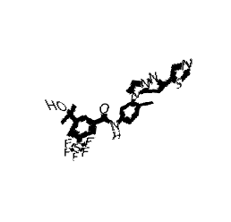 Cc1ccc(NC(=O)c2cc(C(C)(C)O)cc(S(F)(F)(F)(F)F)c2)cc1-n1ccn2nc(-c3cncs3)cc12